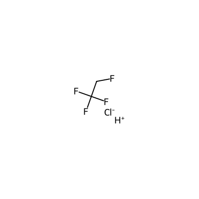 FCC(F)(F)F.[Cl-].[H+]